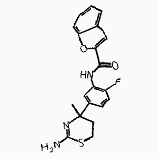 CC1(c2ccc(F)c(NC(=O)c3cc4ccccc4o3)c2)CCSC(N)=N1